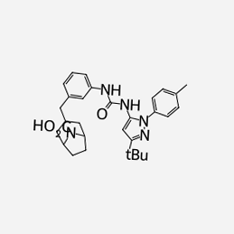 Cc1ccc(-n2nc(C(C)(C)C)cc2NC(=O)Nc2cccc(CC3CC4CCC(C3)N4C(=O)O)c2)cc1